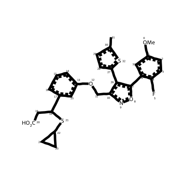 COc1ccc(F)c(-c2onc(COc3cccc(C(CC(=O)O)SC4CC4)c3)c2-c2ccc(C)s2)c1